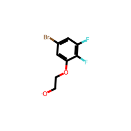 [O]CCOc1cc(Br)cc(F)c1F